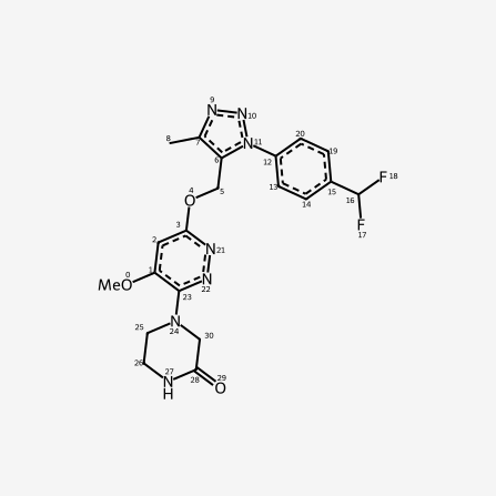 COc1cc(OCc2c(C)nnn2-c2ccc(C(F)F)cc2)nnc1N1CCNC(=O)C1